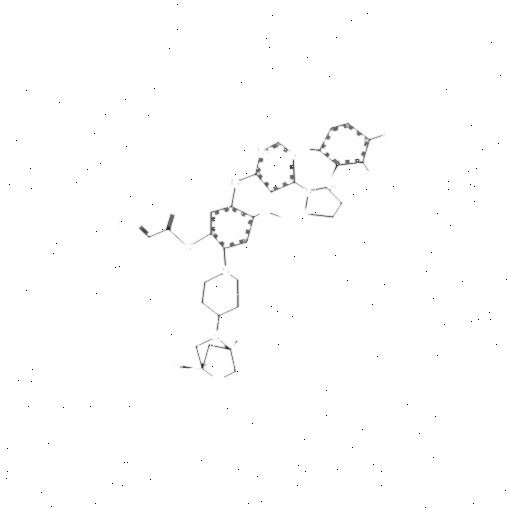 C=CC(=O)Nc1cc(Nc2cc(N3OCC[C@@H]3c3c(F)ccc(F)c3Cl)ncn2)c(OC)cc1N1CCC(N2C[C@@H]3C[C@H]2CO3)CC1